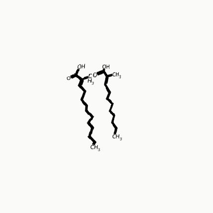 CCCCCCCC/C=C(\C)C(=O)O.CCCCCCCCCC/C=C(\C)C(=O)O